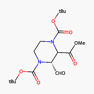 COC(=O)C1[C@H](C=O)N(C(=O)OC(C)(C)C)CCN1C(=O)OC(C)(C)C